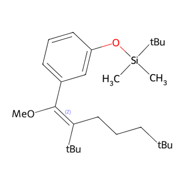 CO/C(=C(/CCCC(C)(C)C)C(C)(C)C)c1cccc(O[Si](C)(C)C(C)(C)C)c1